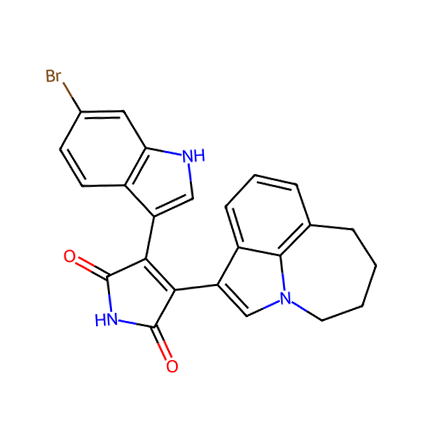 O=C1NC(=O)C(c2cn3c4c(cccc24)CCCC3)=C1c1c[nH]c2cc(Br)ccc12